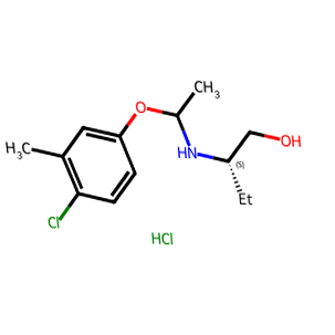 CC[C@@H](CO)NC(C)Oc1ccc(Cl)c(C)c1.Cl